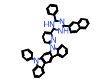 C1=C(C2NC(c3ccc4ccccc4c3)=NC(c3ccccc3)N2)N=C(n2c3ccccc3c3cc4c5ccccc5n(-c5ccccc5)c4cc32)CC1